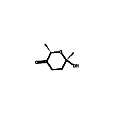 C[C@@H]1O[C@@](C)(O)CCC1=O